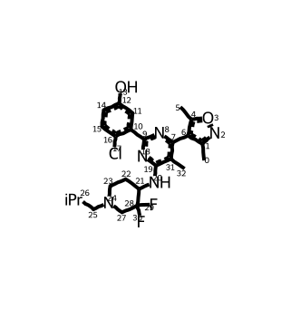 Cc1noc(C)c1-c1nc(-c2cc(O)ccc2Cl)nc(NC2CCN(CC(C)C)CC2(F)F)c1C